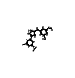 COc1cc(C)cc(-c2n[nH]c(Sc3cc(Cl)nc(SC)n3)n2)c1